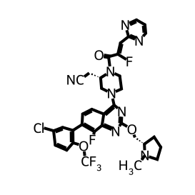 CN1CCC[C@H]1COc1nc(N2CCN(C(=O)/C(F)=C/c3ncccn3)[C@@H](CC#N)C2)c2ccc(-c3cc(Cl)ccc3OC(F)(F)F)c(F)c2n1